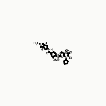 CC[C@@H]1C(=O)N(C)c2cnc(Nc3ccc(C(=O)NC4C[C@@H]5CN(C)C[C@@H]5C4)cc3OC)nc2N1C1CCCC1